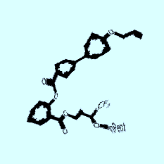 C=CCOc1ccc(-c2ccc(C(=O)Oc3ccccc3C(=O)OCCC(OCCCCC)C(F)(F)F)cc2)cc1